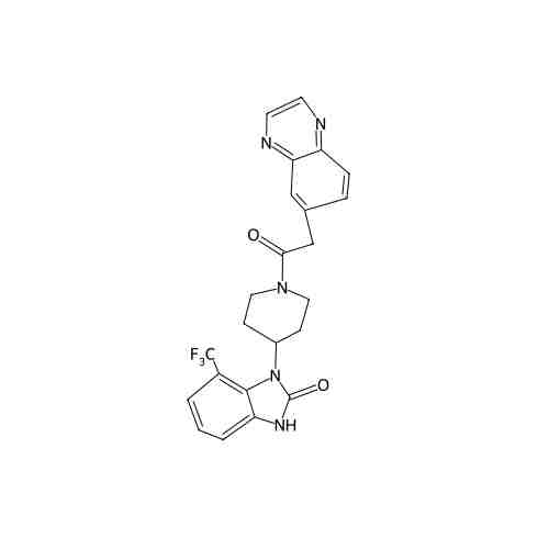 O=C(Cc1ccc2nccnc2c1)N1CCC(n2c(=O)[nH]c3cccc(C(F)(F)F)c32)CC1